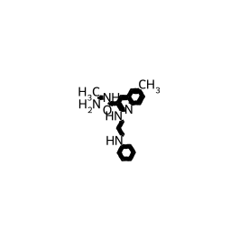 Cc1ccc2nc(NCCCNC3CCCCC3)c(C(=O)NC(C)N)cc2c1